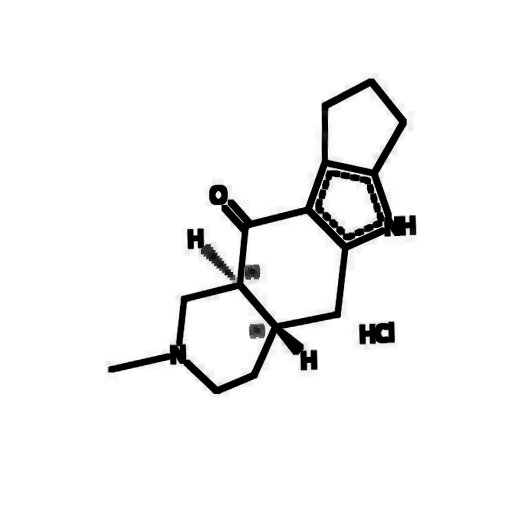 CN1CC[C@H]2Cc3[nH]c4c(c3C(=O)[C@@H]2C1)CCC4.Cl